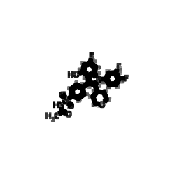 CC(=O)NS(=O)(=O)c1ccc(-c2c(C3CCOCC3)n(-c3ccc(F)c(F)c3)c3cc(F)cc(O)c23)cc1